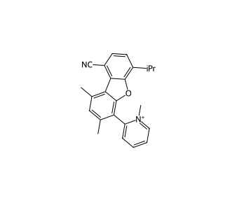 Cc1cc(C)c2c(oc3c(C(C)C)ccc(C#N)c32)c1-c1cccc[n+]1C